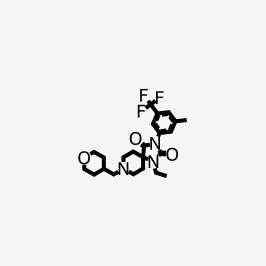 CCN1C(=O)N(c2cc(C)cc(C(F)(F)F)c2)C(=O)C12CCN(CC1CCOCC1)CC2